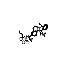 CCCC(=O)N1N=C(c2ccc3c(c2)CCCN3C(=NC(C)C)c2ccccc2OC)C(C)(C)SC1=O